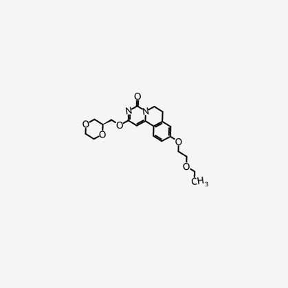 CCOCCOc1ccc2c(c1)CCn1c-2cc(OC[C@@H]2COCCO2)nc1=O